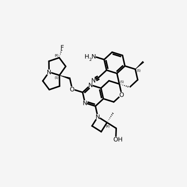 C[C@H]1CC[C@]2(Cc3nc(OC[C@@]45CCCN4C[C@H](F)C5)nc(N4CC[C@]4(C)CO)c3CO2)c2c1ccc(N)c2C#N